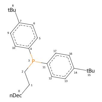 CCCCCCCCCCCCP(c1ccc(C(C)(C)C)cc1)c1ccc(C(C)(C)C)cc1